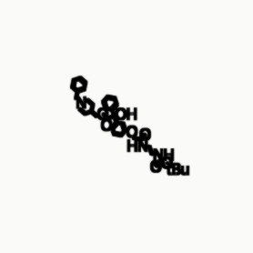 CC(C)(C)OC(=O)NCCNC(=O)COc1cccc([C@](O)(C(=O)OCC2CCN(Cc3ccccc3)CC2)c2ccccc2)c1